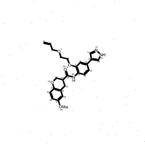 C=CCOCCOc1cc(-c2cn[nH]c2)ccc1NC(=O)C1COc2ccc(OC)cc2C1